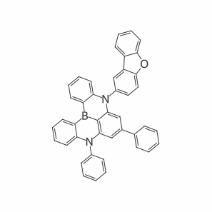 c1ccc(-c2cc3c4c(c2)N(c2ccc5oc6ccccc6c5c2)c2ccccc2B4c2ccccc2N3c2ccccc2)cc1